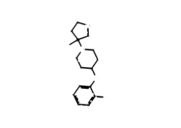 CC1(N2CCC(Nc3ccccc3N)CC2)CCNC1